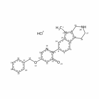 Cl.Cn1c2c(c3ccc(-n4ncc(OCc5ccccc5)cc4=O)cc31)CCNC2